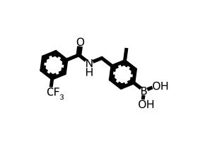 Cc1cc(B(O)O)ccc1CNC(=O)c1cccc(C(F)(F)F)c1